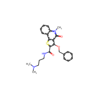 CN(C)CCCNC(=O)c1sc2c(c1OCc1ccccc1)c(=O)n(C)c1ccccc21